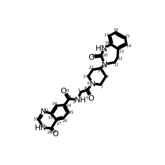 O=C(NCC(=O)N1CCC(N2CCc3ccccc3NC2=O)CC1)c1ccc2c(=O)[nH]cnc2c1